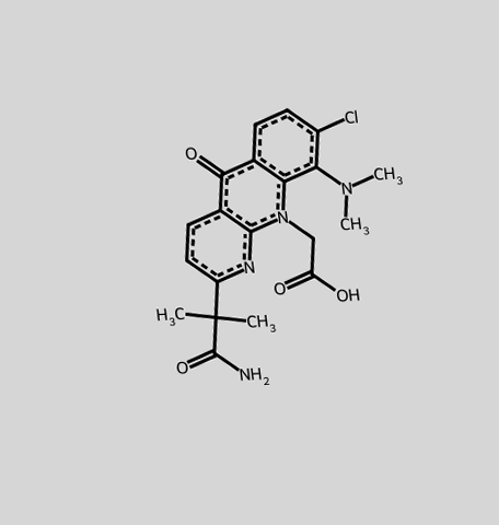 CN(C)c1c(Cl)ccc2c(=O)c3ccc(C(C)(C)C(N)=O)nc3n(CC(=O)O)c12